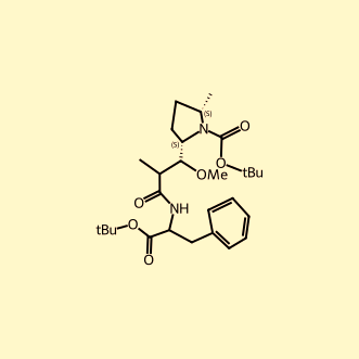 COC(C(C)C(=O)NC(Cc1ccccc1)C(=O)OC(C)(C)C)[C@@H]1CC[C@H](C)N1C(=O)OC(C)(C)C